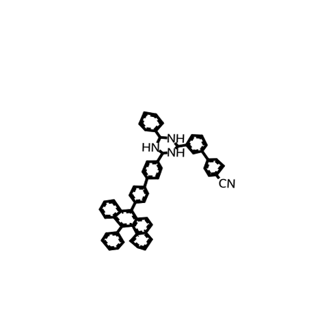 N#Cc1ccc(-c2cccc(C3NC(c4ccccc4)NC(c4ccc(-c5ccc(-c6c7ccccc7c(-c7ccccc7)c7c6ccc6ccccc67)cc5)cc4)N3)c2)cc1